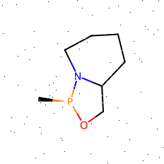 C[P@]1OCC2CCCCN21